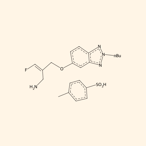 CCCCn1nc2ccc(OC/C(=C/F)CN)cc2n1.Cc1ccc(S(=O)(=O)O)cc1